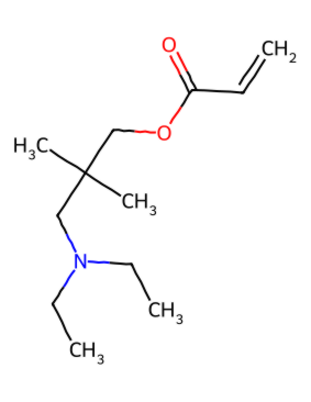 C=CC(=O)OCC(C)(C)CN(CC)CC